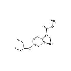 COC(=O)C1=C2C=CC(OC(CF)CF)=CN2NC1